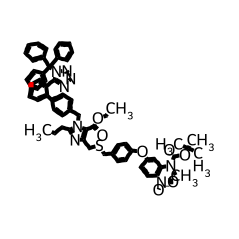 CCCc1nc(CSCc2ccc(Oc3ccc([N+](=O)[O-])c(N(C)C(=O)OC(C)(C)C)c3)cc2)c(C(=O)OCC)n1Cc1ccc(-c2ccccc2-c2nnnn2C(c2ccccc2)(c2ccccc2)c2ccccc2)cc1